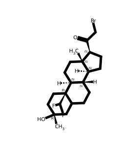 C[C@@]1(O)CC[C@@]2(C(F)F)C(CC[C@@H]3[C@@H]2CC[C@]2(C)[C@@H](C(=O)CBr)CC[C@@H]32)C1